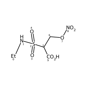 CCNS(=O)(=O)C(CO[N+](=O)[O-])C(=O)O